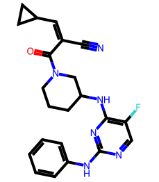 N#C/C(=C/C1CC1)C(=O)N1CCCC(Nc2nc(Nc3ccccc3)ncc2F)C1